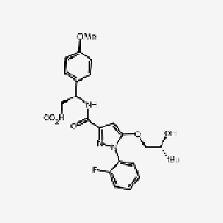 COc1ccc([C@H](CC(=O)O)NC(=O)c2cc(OC[C@H](O)C(C)(C)C)n(-c3ccccc3F)n2)cc1